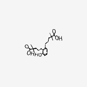 CC(C)(CCCc1cccc(O)c1CCCC(C)(C)C(=O)O)C(=O)O